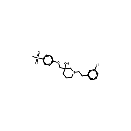 CS(=O)(=O)c1ccc(OC[C@@]2(O)CCCN(CCc3cccc(Cl)c3)C2)cc1